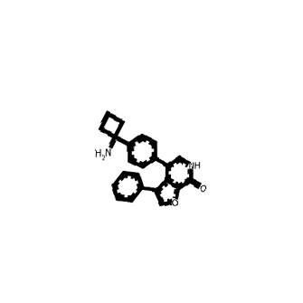 NC1(c2ccc(-c3c[nH]c(=O)c4occ(-c5ccccc5)c34)cc2)CCC1